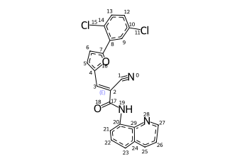 N#C/C(=C\c1ccc(-c2cc(Cl)ccc2Cl)o1)C(=O)Nc1cccc2cccnc12